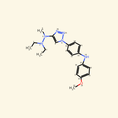 CCN(CC)N(C)c1cn(-c2ccc(Nc3ccc(OC)cc3)cc2)nn1